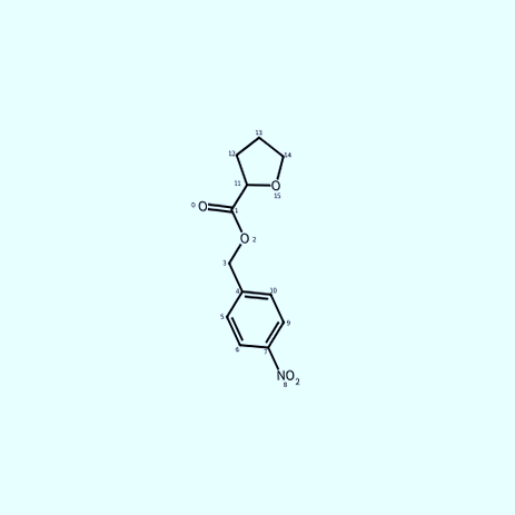 O=C(OCc1ccc([N+](=O)[O-])cc1)C1CCCO1